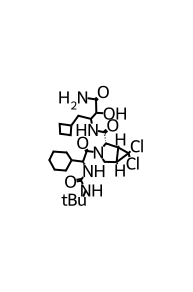 CC(C)(C)NC(=O)N[C@H](C(=O)N1C[C@H]2[C@@H]([C@H]1C(=O)NC(CC1CCC1)C(O)C(N)=O)C2(Cl)Cl)C1CCCCC1